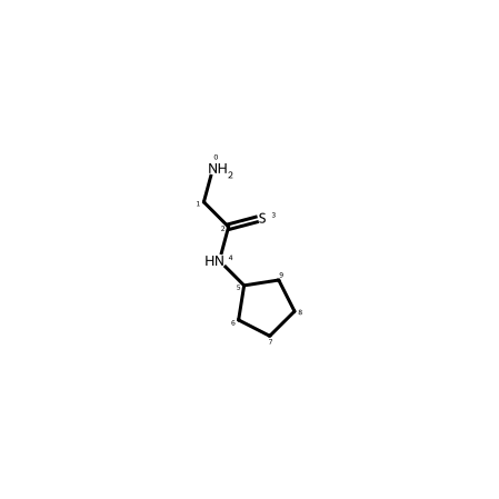 NCC(=S)NC1CCCC1